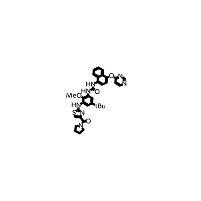 COc1c(NC(=O)Nc2ccc(Oc3ccncn3)c3ccccc23)cc(C(C)(C)C)cc1Nc1nc(C(=O)N2CCCC2)cs1